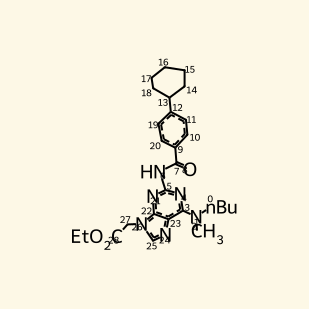 CCCCN(C)c1nc(NC(=O)c2ccc(C3CCCCC3)cc2)nc2c1ncn2CC(=O)OCC